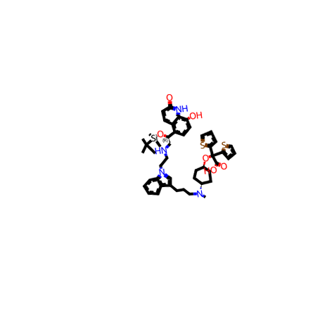 CN(CCCc1cn(CCNC[C@H](O[Si](C)(C)C(C)(C)C)c2ccc(O)c3[nH]c(=O)ccc23)c2ccccc12)[C@H]1CC[C@H](OC(C(=O)O)(c2cccs2)c2cccs2)CC1